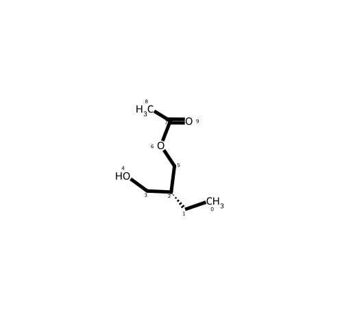 CC[C@H](CO)COC(C)=O